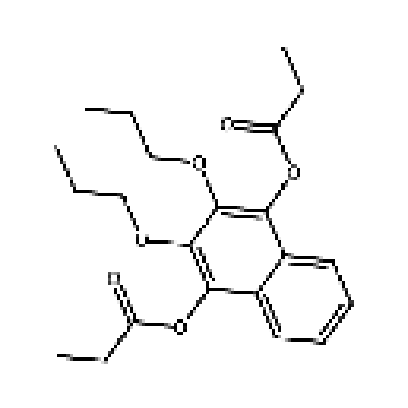 CCCOc1c(OCCC)c(OC(=O)CC)c2ccccc2c1OC(=O)CC